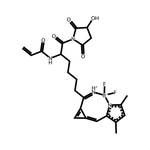 C=CC(=O)NC(CCCCC1=[NH+][B-](F)(F)n2c(C)cc(C)c2C=C2C=C21)C(=O)N1C(=O)CC(O)C1=O